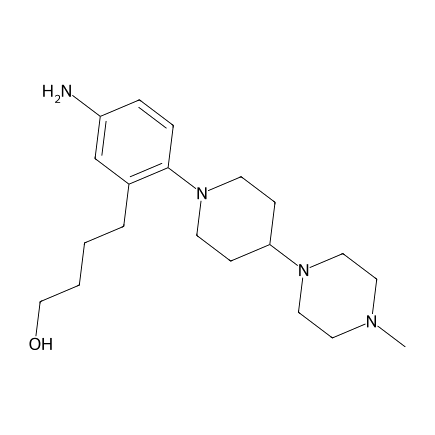 CN1CCN(C2CCN(c3ccc(N)cc3CCCCO)CC2)CC1